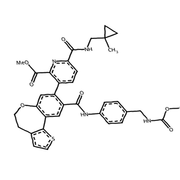 COC(=O)c1nc(C(=O)NCC2(C)CC2)ccc1-c1cc2c(cc1C(=O)Nc1ccc(CNC(=O)OC(C)(C)C)cc1)-c1sccc1CCO2